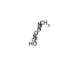 Cc1ccc(N2CCC(COC3CN(c4cccc(CO)c4F)C3)CC2)cn1